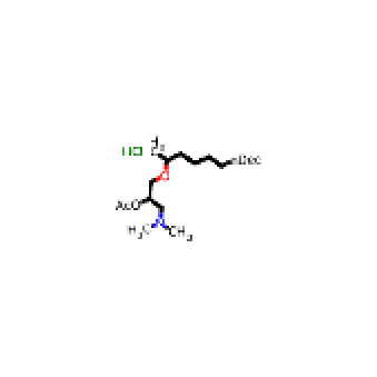 CCCCCCCCCCCCCCC(C)OCC(CN(C)C)OC(C)=O.Cl